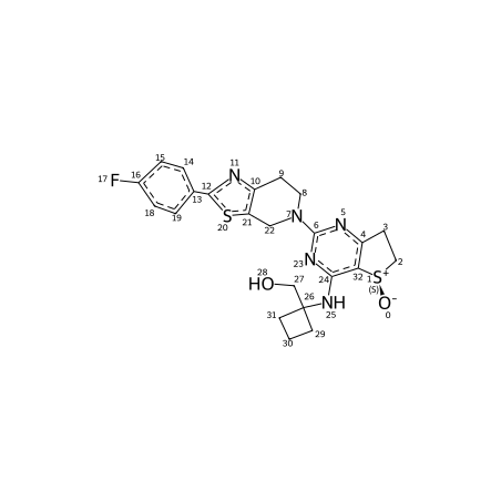 [O-][S@+]1CCc2nc(N3CCc4nc(-c5ccc(F)cc5)sc4C3)nc(NC3(CO)CCC3)c21